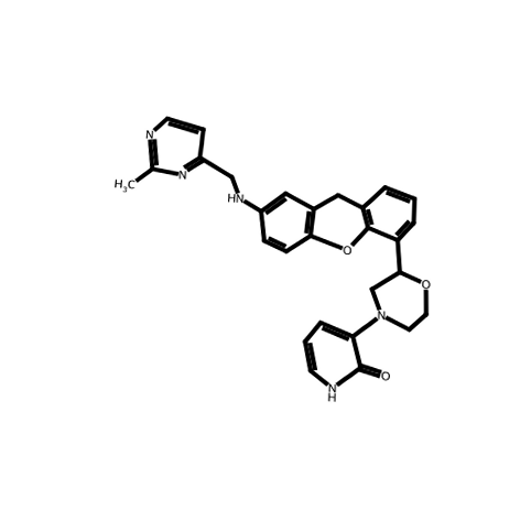 Cc1nccc(CNc2ccc3c(c2)Cc2cccc(C4CN(c5ccc[nH]c5=O)CCO4)c2O3)n1